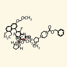 CCc1c(F)ccc2cc(OCOC)cc(-c3ncc4c(N5C[C@H]6CC[C@@H](C5)N6C(=O)OC(C)(C)C)nc(OC[C@@H]5C[C@H](N6CCN(C(=O)OCc7ccccc7)CC6)CN5C)nc4c3F)c12